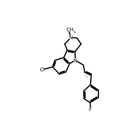 CN1CCc2c(c3cc(Cl)ccc3n2C/C=C/c2ccc(F)cc2)C1